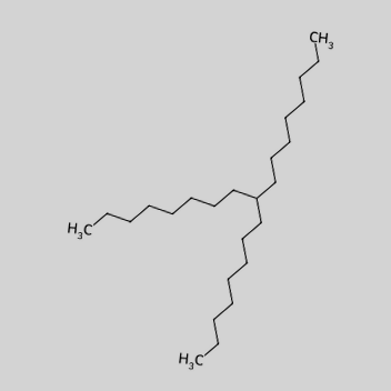 CCCCCCCCC(CCCCCCCC)CCCCCCCC